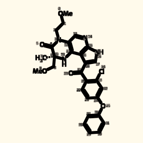 COCCN1C(=O)[C@](C)(COC)Nc2c1cnc1[nH]cc(C(=O)c3ccc(Oc4ccccc4)cc3Cl)c21